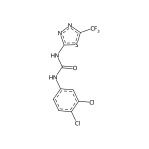 O=C(Nc1ccc(Cl)c(Cl)c1)Nc1nnc(C(F)(F)F)s1